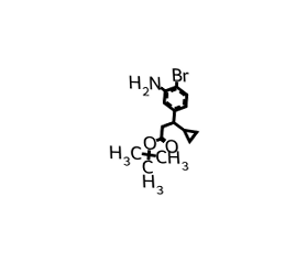 CC(C)(C)OC(=O)CC(c1ccc(Br)c(N)c1)C1CC1